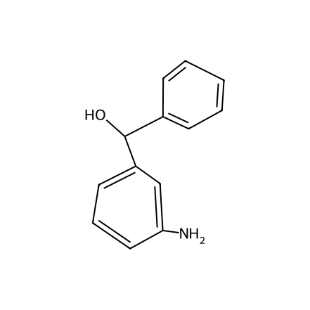 Nc1cccc(C(O)c2ccccc2)c1